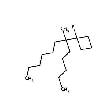 CCCCCCC(C)(CCCCC)C1(F)CCC1